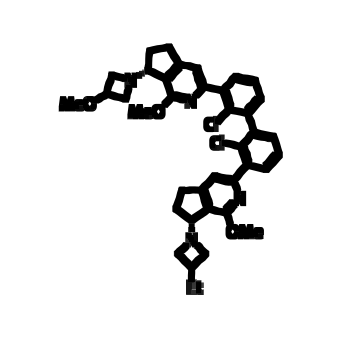 CCC1CN([C@@H]2CCc3cc(-c4cccc(-c5cccc(-c6cc7c(c(OC)n6)[C@H](N6CC(OC)C6)CC7)c5Cl)c4Cl)nc(OC)c32)C1